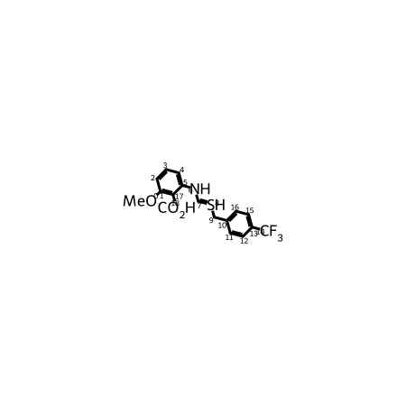 COc1cccc(NC=[SH]Cc2ccc(C(F)(F)F)cc2)c1C(=O)O